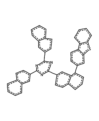 c1ccc2cc(-c3nc(-c4ccc5ccccc5c4)nc(-c4ccc5cccc(-c6ccc7c(c6)sc6ccccc67)c5c4)n3)ccc2c1